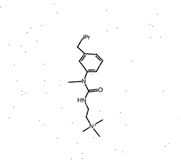 CC(C)Cc1cccc(N(C)C(=O)NCC[N+](C)(C)C)c1